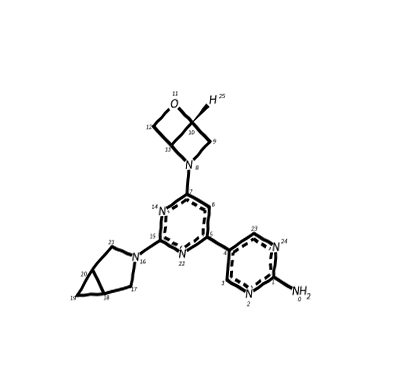 Nc1ncc(-c2cc(N3C[C@H]4OCC43)nc(N3CC4CC4C3)n2)cn1